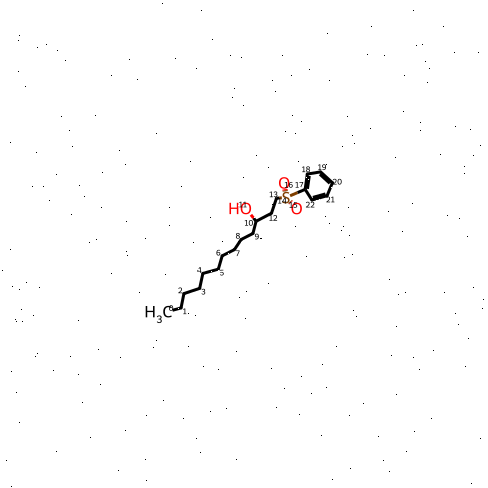 CCCCCCCCCCC(O)CCS(=O)(=O)c1ccccc1